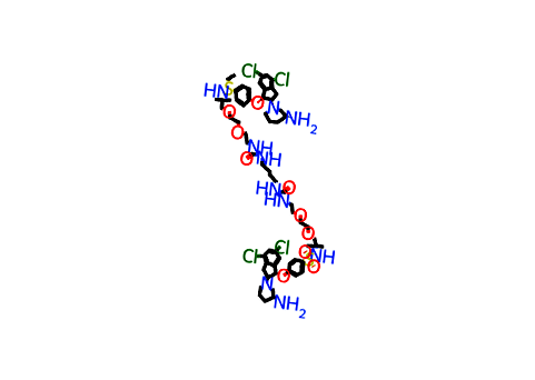 C/C=S(/NC(C)(C)COCCOCCNC(=O)NCCCCNC(=O)NCCOCCOCC(C)(C)NS(=O)(=O)c1ccc(O[C@H]2c3cc(Cl)cc(Cl)c3C[C@@H]2N2CCC[C@@H](N)C2)cc1)c1ccc(O[C@H]2c3cc(Cl)cc(Cl)c3C[C@@H]2N2CCC[C@@H](N)C2)cc1